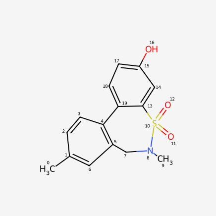 Cc1ccc2c(c1)CN(C)S(=O)(=O)c1cc(O)ccc1-2